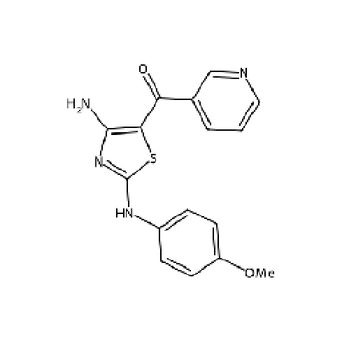 COc1ccc(Nc2nc(N)c(C(=O)c3cccnc3)s2)cc1